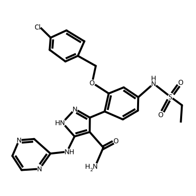 CCS(=O)(=O)Nc1ccc(-c2n[nH]c(Nc3cnccn3)c2C(N)=O)c(OCc2ccc(Cl)cc2)c1